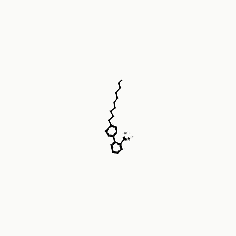 CCCCCCCCCCc1ccc(-c2ccccc2-c2nnn[nH]2)cc1